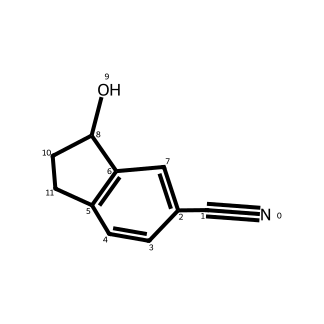 N#Cc1ccc2c(c1)C(O)CC2